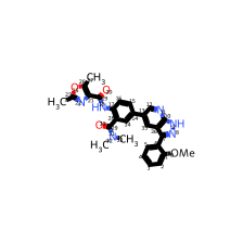 COc1ccccc1-c1n[nH]c2ncc(-c3ccc(NC(=O)c4nc(C)oc4C)c(C(=O)N(C)C)c3)cc12